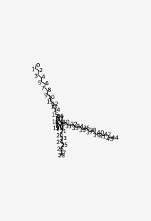 CCCCCCCCCCCCCCCCCN1C=CN(CCCCCCCC)C1CCCCCCCCCCCCCCC